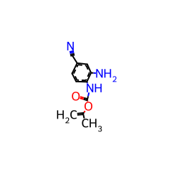 C=C(C)OC(=O)Nc1ccc(C#N)cc1N